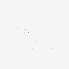 Cc1ccc(OC(=O)C(C)C)c2c1[C@]13CCN(CC4CC4)[C@H](C)[C@]1(O)CCC(=O)[C@@H]3O2